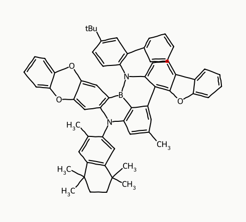 Cc1cc2c3c(c1)N(c1cc4c(cc1C)C(C)(C)CCC4(C)C)c1cc4c(cc1B3N(c1ccc(C(C)(C)C)cc1-c1ccccc1)c1ccc3c(oc5ccccc53)c1-2)Oc1ccccc1O4